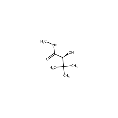 CNC(=O)[C@@H](O)C(C)(C)C